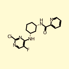 O=C(N[C@H]1CCC[C@@H](Nc2nc(Cl)ncc2F)C1)c1ccccn1